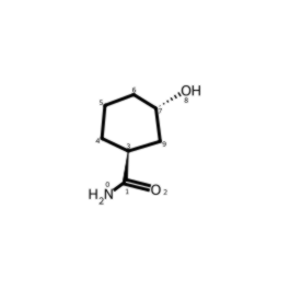 NC(=O)[C@H]1CCC[C@H](O)C1